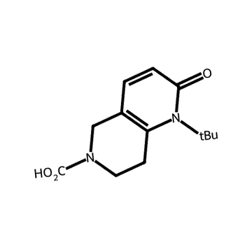 CC(C)(C)n1c2c(ccc1=O)CN(C(=O)O)CC2